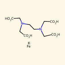 O=C(O)CN(CCN(CC(=O)O)CC(=O)O)CC(=O)O.[Fe].[K]